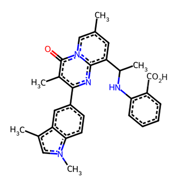 Cc1cc(C(C)Nc2ccccc2C(=O)O)c2nc(-c3ccc4c(c3)c(C)cn4C)c(C)c(=O)n2c1